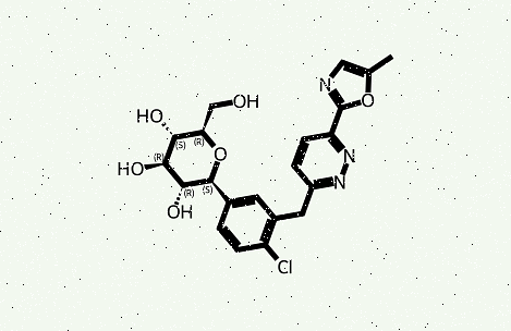 Cc1cnc(-c2ccc(Cc3cc([C@@H]4O[C@H](CO)[C@@H](O)[C@H](O)[C@H]4O)ccc3Cl)nn2)o1